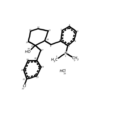 CN(C)c1ccccc1CC1CCCCC1(O)Cc1ccc(Cl)cc1.Cl